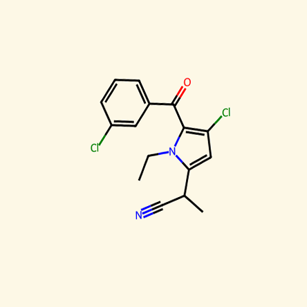 CCn1c(C(C)C#N)cc(Cl)c1C(=O)c1cccc(Cl)c1